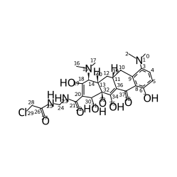 CN(C)c1ccc(O)c2c1C[C@H]1C[C@H]3[C@H](N(C)C)C(O)=C(C(=O)NCNC(=O)CCl)C(O)[C@@]3(O)C(O)=C1C2=O